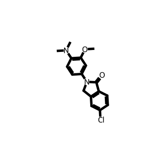 COc1cc(N2Cc3cc(Cl)ccc3C2=O)ccc1N(C)C